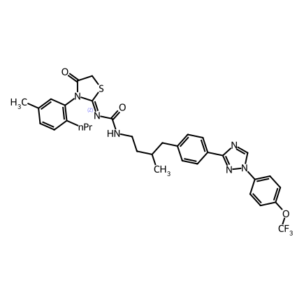 CCCc1ccc(C)cc1N1C(=O)CS/C1=N\C(=O)NCCC(C)Cc1ccc(-c2ncn(-c3ccc(OC(F)(F)F)cc3)n2)cc1